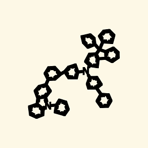 c1ccc(-c2ccc(N(c3ccc(-c4cccc(-c5ccc6c7ccccc7n(-c7ccccc7)c6c5)c4)cc3)c3ccc4c(c3)-c3ccccc3C4(c3ccccc3)c3ccccc3)cc2)cc1